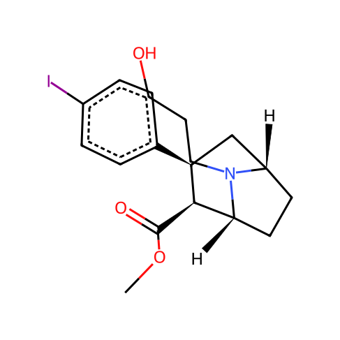 COC(=O)[C@H]1[C@@H](c2ccc(I)cc2)C[C@@H]2CC[C@H]1N2CCCO